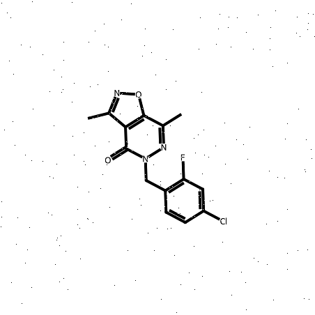 Cc1nn(Cc2ccc(Cl)cc2F)c(=O)c2c(C)noc12